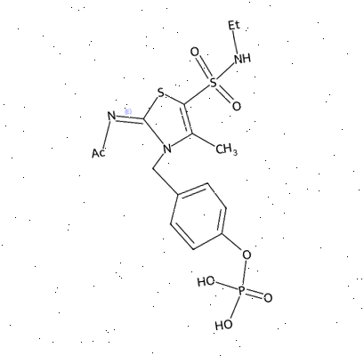 CCNS(=O)(=O)c1s/c(=N/C(C)=O)n(Cc2ccc(OP(=O)(O)O)cc2)c1C